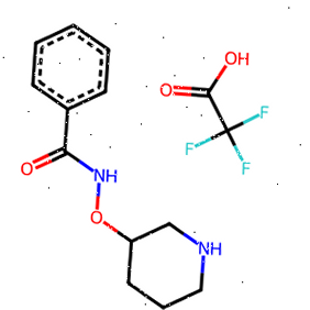 O=C(NOC1CCCNC1)c1ccccc1.O=C(O)C(F)(F)F